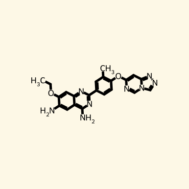 CCOc1cc2nc(-c3ccc(Oc4cc5nncn5cn4)c(C)c3)nc(N)c2cc1N